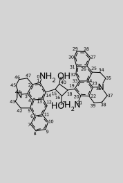 Nc1c2c3c4c(c5ccccc5cc4c1C1C(O)C(c4c(N)c5c6c7c(c8ccccc8cc47)CCN6CCC5)C1O)CCN3CCC2